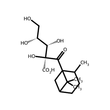 CC1CCC2CC1(C(=O)[C@](O)(C(=O)O)[C@@H](O)[C@H](O)CO)C2(C)C